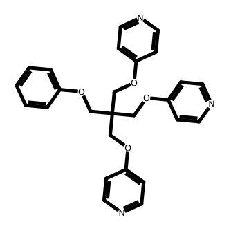 c1ccc(OCC(COc2ccncc2)(COc2ccncc2)COc2ccncc2)cc1